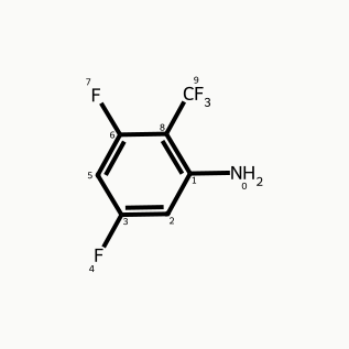 Nc1cc(F)cc(F)c1C(F)(F)F